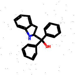 OC(c1ccccc1)(c1ccccc1)C1Cc2ccccc2N1